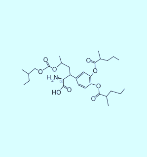 CCCC(C)C(=O)Oc1ccc(C(CC(C)OC(=O)OCC(C)CC)[C@H](N)C(=O)O)cc1OC(=O)C(C)CCC